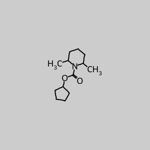 CC1CCCC(C)N1C(=O)OC1CCCC1